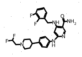 NC(=O)c1cnc(Nc2ccc(C3CCN(CC(F)F)CC3)cc2)cc1NCc1cccc(F)c1F